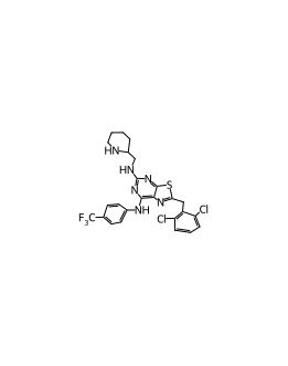 FC(F)(F)c1ccc(Nc2nc(NCC3CCCCN3)nc3sc(Cc4c(Cl)cccc4Cl)nc23)cc1